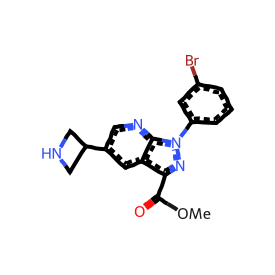 COC(=O)c1nn(-c2cccc(Br)c2)c2ncc(C3CNC3)cc12